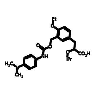 CCOc1ccc(CC(OC(C)C)C(=O)O)cc1COC(=O)Nc1ccc(N(C)C)cc1